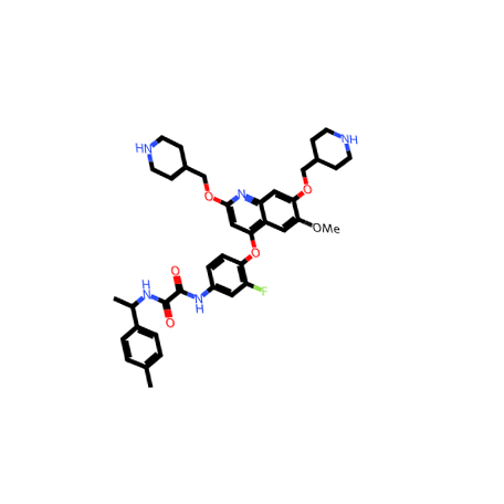 COc1cc2c(Oc3ccc(NC(=O)C(=O)NC(C)c4ccc(C)cc4)cc3F)cc(OCC3CCNCC3)nc2cc1OCC1CCNCC1